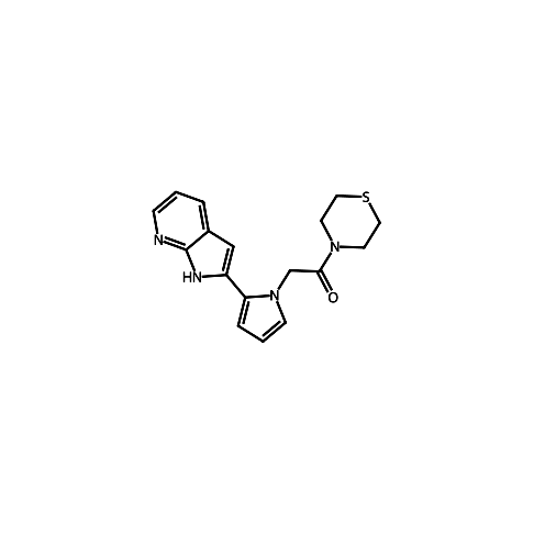 O=C(Cn1cccc1-c1cc2cccnc2[nH]1)N1CCSCC1